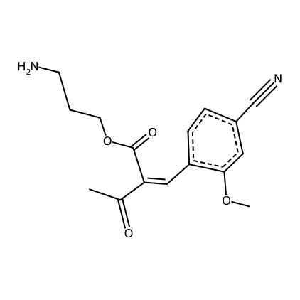 COc1cc(C#N)ccc1/C=C(/C(C)=O)C(=O)OCCCN